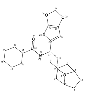 CC1CC2CCC(C1)N2CC[C@H](NC(=O)C1CCCCC1)c1cc2c(s1)OCO2